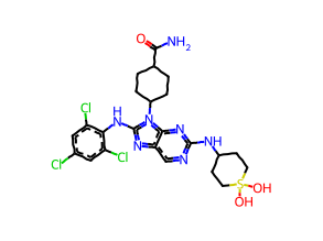 NC(=O)C1CCC(n2c(Nc3c(Cl)cc(Cl)cc3Cl)nc3cnc(NC4CCS(O)(O)CC4)nc32)CC1